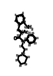 CC(=O)C(=Cc1ccccc1N)C(=O)N(CCN1CCCCC1)c1ccccc1